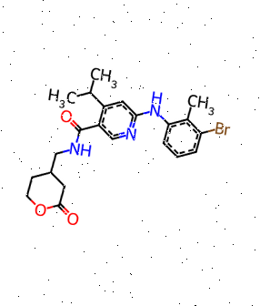 Cc1c(Br)cccc1Nc1cc(C(C)C)c(C(=O)NCC2CCOC(=O)C2)cn1